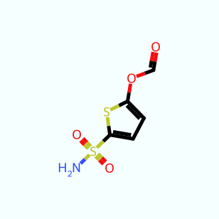 NS(=O)(=O)c1ccc(OC=O)s1